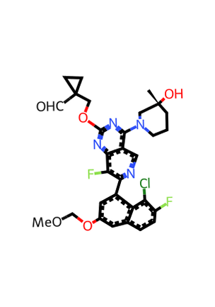 COCOc1cc(-c2ncc3c(N4CCC[C@@](C)(O)C4)nc(OCC4(C=O)CC4)nc3c2F)c2c(Cl)c(F)ccc2c1